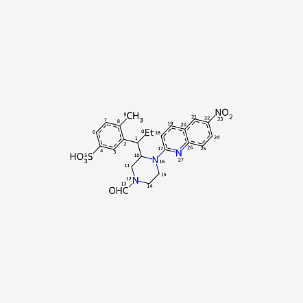 CCC(c1cc(S(=O)(=O)O)ccc1C)C1CN(C=O)CCN1c1ccc2cc([N+](=O)[O-])ccc2n1